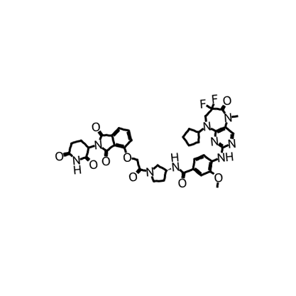 COc1cc(C(=O)N[C@@H]2CCN(C(=O)COc3cccc4c3C(=O)N(C3CCC(=O)NC3=O)C4=O)C2)ccc1Nc1ncc2c(n1)N(C1CCCC1)CC(F)(F)C(=O)N2C